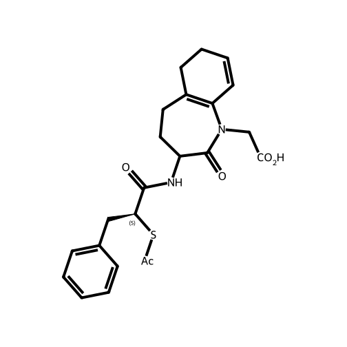 CC(=O)S[C@@H](Cc1ccccc1)C(=O)NC1CCC2=C(C=CCC2)N(CC(=O)O)C1=O